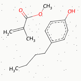 C=C(C)C(=O)OC.CCCCc1ccc(O)cc1